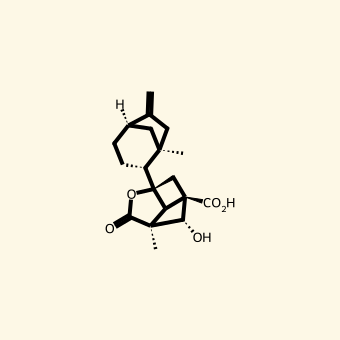 C=C1C[C@]2(C)C[C@H]1CC[C@H]2[C@]12C[C@@]3(C(=O)O)C1[C@](C)(C(=O)O2)[C@H]3O